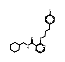 O=C(NCC1CCCCC1)c1cccnc1SCCCc1ccc(F)cc1